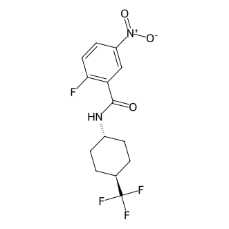 O=C(N[C@H]1CC[C@H](C(F)(F)F)CC1)c1cc([N+](=O)[O-])ccc1F